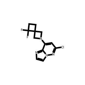 FC1(F)CCC12CN(c1cc(Cl)nn3ccnc13)C2